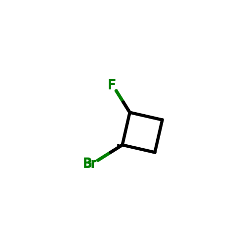 FC1CC[C]1Br